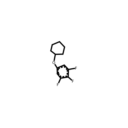 Fc1[c]c(OC2CCCCC2)cc(F)c1F